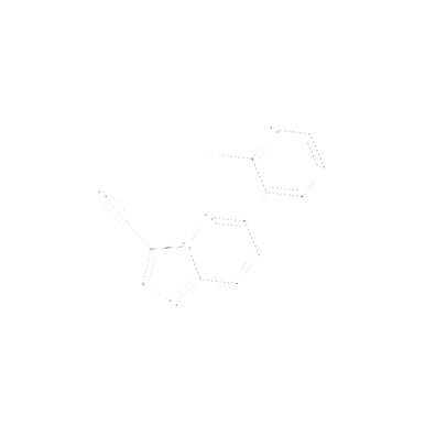 N#Cc1cnc2ccc(-c3cccnc3Cl)nn12